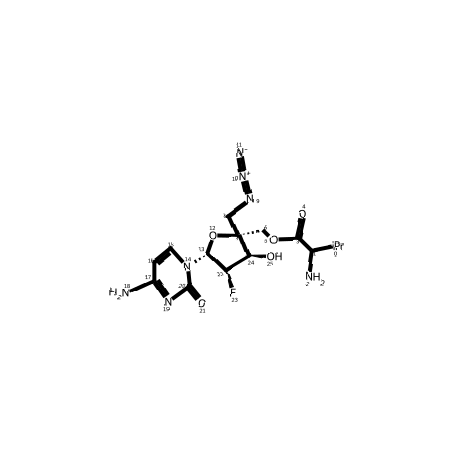 CC(C)C(N)C(=O)OC[C@@]1(CN=[N+]=[N-])O[C@@H](n2ccc(N)nc2=O)[C@H](F)[C@@H]1O